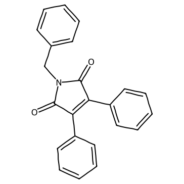 O=C1C(c2ccccc2)=C(c2ccccc2)C(=O)N1Cc1ccccc1